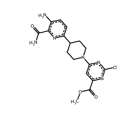 COC(=O)c1cc(N2CCC(c3ccc(N)c(C(N)=O)n3)CC2)nc(Cl)n1